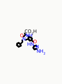 Nc1ccc(NC(=O)c2ccc3c(c2)CN(CCc2ccccc2)C(=O)C(CC(=O)O)N3)cn1